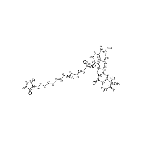 C=C1OCc2c(cc3n(c2=O)Cc2c-3nc3cc(F)c(C)c4c3c2[C@@H](NC(=O)COCCNCC=CCCCCCN2C(=O)C=CC2=O)CC4)[C@@]1(O)CC